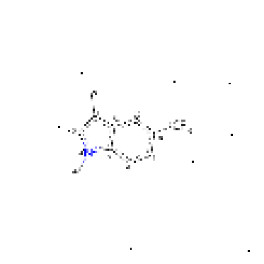 Cc1cn(C)c2ccc(C(F)(F)F)cc12